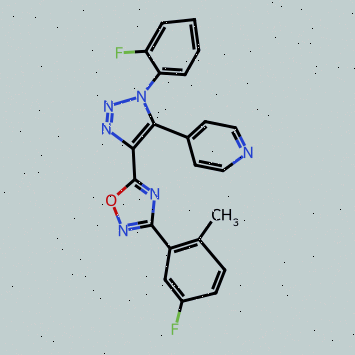 Cc1ccc(F)cc1-c1noc(-c2nnn(-c3ccccc3F)c2-c2ccncc2)n1